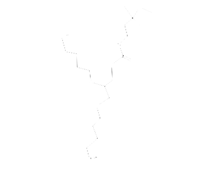 CCCCCCCCCCCCCCOCC(COC(=O)NCCC(C)(C)OCC)OCCCCCCCCCCCCCC